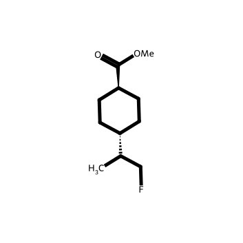 COC(=O)[C@H]1CC[C@H](C(C)CF)CC1